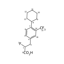 O=C(O)C(F)Cc1ccc(C2CCCCC2)c(C(F)(F)F)c1